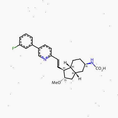 CO[C@H]1C[C@H]2C[C@H](NC(=O)O)CC[C@H]2[C@@H]1C=Cc1ccc(-c2cccc(F)c2)cn1